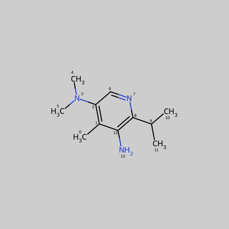 Cc1c(N(C)C)cnc(C(C)C)c1N